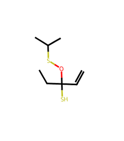 C=CC(S)(CC)OSC(C)C